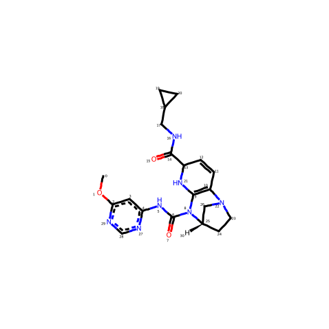 COc1cc(NC(=O)N2C3=C(C=CC(C(=O)NCC4CC4)N3)N3CC[C@H]2C3)ncn1